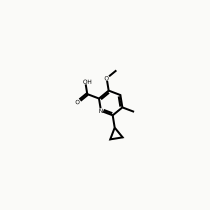 COc1cc(C)c(C2CC2)nc1C(=O)O